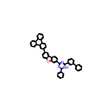 c1ccc(-c2cccc(C3=NC(c4ccc5c(c4)oc4ccc(-c6ccc7c8ccccc8c8ccccc8c7c6)cc45)=NC(c4ccccc4)N3)c2)cc1